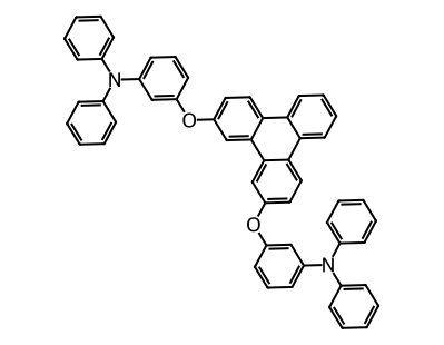 c1ccc(N(c2ccccc2)c2cccc(Oc3ccc4c5ccccc5c5ccc(Oc6cccc(N(c7ccccc7)c7ccccc7)c6)cc5c4c3)c2)cc1